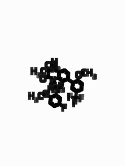 COc1ccc(F)cc1NCc1c(-c2cc(C(F)(F)F)ccc2OC)ccc2c1N(C)C(=O)C(C)(C)N2